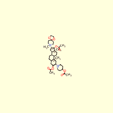 CC(=O)OC1CCN([C@H]2C[C@@]3(C)C(CCC4C3CC[C@@]3(C)C4C[C@H]([N+]4(C)CCC5(CC4)OCCO5)[C@@H]3OC(C)=O)C[C@@H]2OC(C)=O)CC1